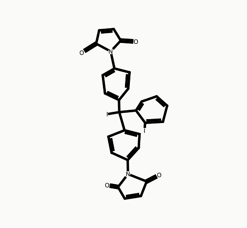 O=C1C=CC(=O)N1c1ccc(C(I)(c2ccc(N3C(=O)C=CC3=O)cc2)c2ccccc2I)cc1